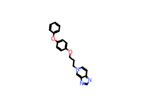 c1ccc(Oc2ccc(OCCCn3ccc4ncnc-4c3)cc2)cc1